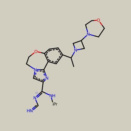 CC(C)N/C(=N\C=N)c1cn2c(n1)-c1cc(C(C)N3CC(N4CCOCC4)C3)ccc1OCC2